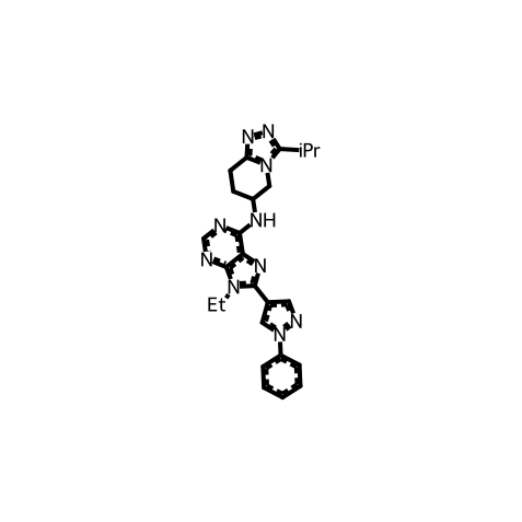 CCn1c(-c2cnn(-c3ccccc3)c2)nc2c(NC3CCc4nnc(C(C)C)n4C3)ncnc21